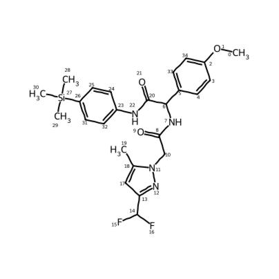 COc1ccc(C(NC(=O)Cn2nc(C(F)F)cc2C)C(=O)Nc2ccc([Si](C)(C)C)cc2)cc1